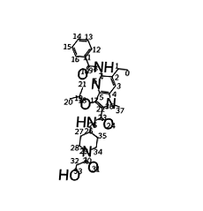 CCc1cc2c(nc1NC(=O)c1ccccc1)c(OC(C)C)c(C(=O)NC1CCN(C(=O)CO)CC1)n2C